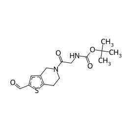 CC(C)(C)OC(=O)NCC(=O)N1CCc2sc(C=O)cc2C1